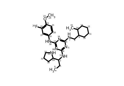 CCC(Nc1nc(NCC2CCCCC2C)nc(Nc2ccc(OC)c(F)c2)n1)C1CCCN1